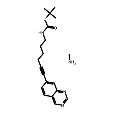 CC(C)(C)OC(=O)NCCCCC#Cc1ccc2cncnc2c1.CN